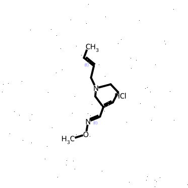 C/C=C/CN1CCC=C(/C=N/OC)C1.Cl